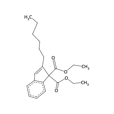 CCCCCCC1=Cc2ccccc2C1(C(=O)OCC)C(=O)OCC